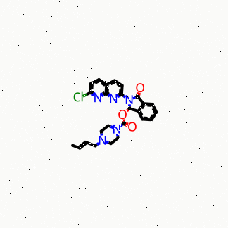 CC=CCN1CCN(C(=O)OC2c3ccccc3C(=O)N2c2ccc3ccc(Cl)nc3n2)CC1